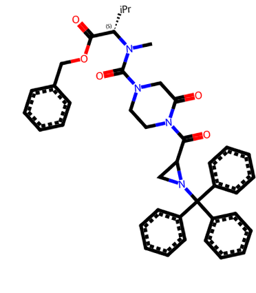 CC(C)[C@@H](C(=O)OCc1ccccc1)N(C)C(=O)N1CCN(C(=O)C2CN2C(c2ccccc2)(c2ccccc2)c2ccccc2)C(=O)C1